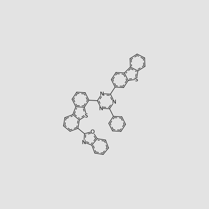 c1ccc(-c2nc(-c3ccc4c(c3)sc3ccccc34)nc(-c3cccc4c3sc3c(-c5nc6ccccc6o5)cccc34)n2)cc1